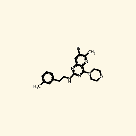 Cc1cccc(CCNc2nc(N3CCOCC3)c3nc(C)c(Br)cc3n2)c1